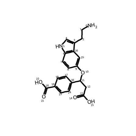 NCCc1c[nH]c2ccc(OC(CC(=O)O)c3ccc(C(=O)O)cc3)cc12